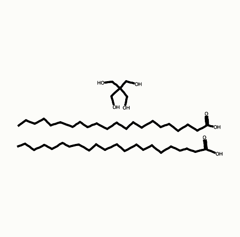 CCCCCCCCCCCCCCCCCCCCCC(=O)O.CCCCCCCCCCCCCCCCCCCCCC(=O)O.OCC(CO)(CO)CO